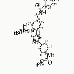 CC(C)OC(=O)Nc1ccc(-c2ncc(-c3ccc(CNC(=O)C4CCNCC4)cc3SNC(C)(C)C)s2)cc1